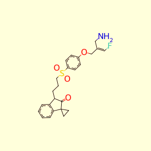 NC/C(=C\F)COc1ccc(S(=O)(=O)CCCC2C(=O)C3(CC3)c3ccccc32)cc1